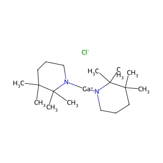 CC1(C)CCC[N]([Ga+][N]2CCCC(C)(C)C2(C)C)C1(C)C.[Cl-]